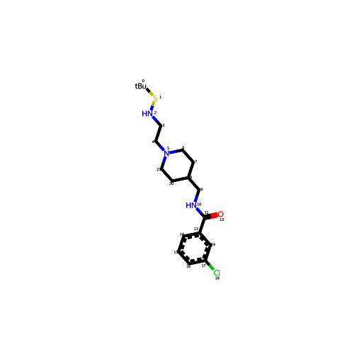 CC(C)(C)SNCCN1CCC(CNC(=O)c2cccc(Cl)c2)CC1